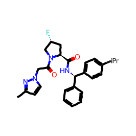 Cc1ccn(CC(=O)N2C[C@H](F)C[C@H]2C(=O)N[C@@H](c2ccccc2)c2ccc(C(C)C)cc2)n1